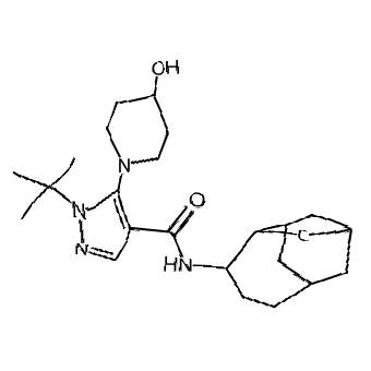 CC(C)(C)n1ncc(C(=O)NC2CCC3CC4CC(C3)C2C4)c1N1CCC(O)CC1